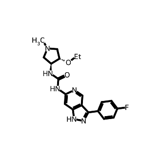 CCO[C@H]1CN(C)C[C@@H]1NC(=O)Nc1cc2[nH]nc(-c3ccc(F)cc3)c2cn1